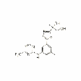 Cc1cc(Nc2nccc(C(F)(F)F)n2)cc(-c2cnc(C(C)(O)CO)s2)c1